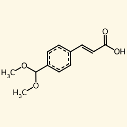 COC(OC)c1ccc(C=CC(=O)O)cc1